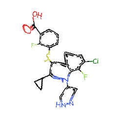 O=C(O)c1cccc(Sc2c(C3CC3)n(-c3cn[nH]c3)c3c(F)c(Cl)ccc23)c1F